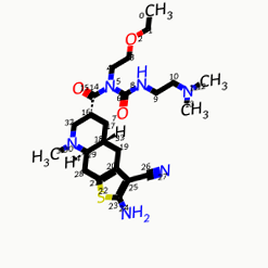 CCOCCN(C(=O)NCCN(C)C)C(=O)[C@@H]1C[C@@H]2Cc3c(sc(N)c3C#N)C[C@H]2N(C)C1